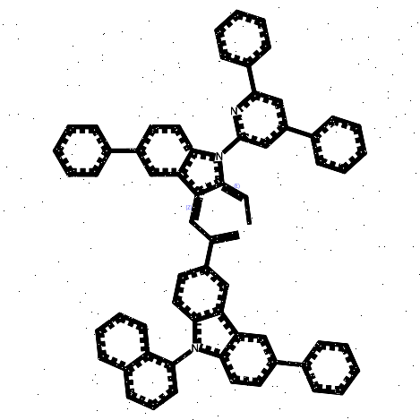 C=C(/C=c1\c(=C/C)n(-c2cc(-c3ccccc3)cc(-c3ccccc3)n2)c2ccc(-c3ccccc3)cc12)c1ccc2c(c1)c1cc(-c3ccccc3)ccc1n2-c1cccc2ccccc12